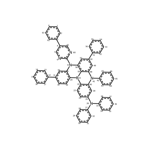 c1ccc(-c2cnc(N3c4cc(-c5ccccc5)ccc4B4c5ccc(N(c6ccccc6)c6ccccc6)cc5N(c5ccccc5)c5cc(-c6ccccc6)cc3c54)nc2)cc1